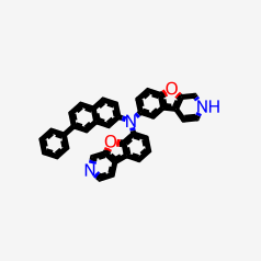 C1=Cc2c(oc3ccc(N(c4ccc5ccc(-c6ccccc6)cc5c4)c4cccc5c4oc4cnccc45)cc23)CN1